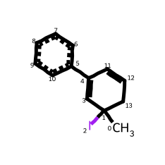 CC1(I)C=C(c2ccccc2)C=CC1